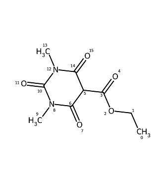 CCOC(=O)C1C(=O)N(C)C(=O)N(C)C1=O